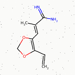 C=CC1=C(/C=C(\C)C(=N)N)OCO1